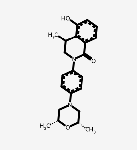 CC1CN(c2ccc(N3C[C@@H](C)O[C@@H](C)C3)cc2)C(=O)c2cccc(O)c21